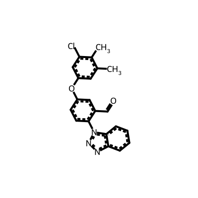 Cc1cc(Oc2ccc(-n3nnc4ccccc43)c(C=O)c2)cc(Cl)c1C